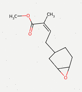 COC(=O)C(C)=CCC1CCC2OC2C1